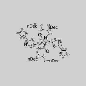 CCCCCCCCCCCCC(CCCCCCCCCC)CN1C(=O)C2=C(C3CN=C(C4=CCCS4)S3)N(CC(CCCCCCCCCC)CCCCCCCCCCCC)C(=O)C2=C1c1cnc(-c2cccs2)s1